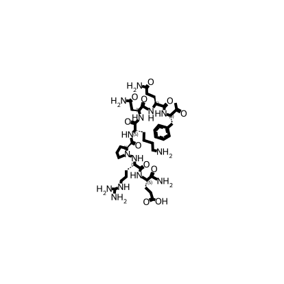 CC(=O)[C@H](Cc1ccccc1)NC(=O)[C@H](CCC(N)=O)NC(=O)[C@H](CC(N)=O)NC(=O)[C@H](CCCCN)NC(=O)[C@@H]1CCCN1N[C@@H](CCCNC(N)N)C(=O)N[C@@H](CCC(=O)O)C(N)=O